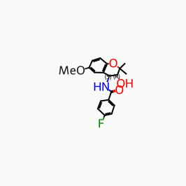 COc1ccc2c(c1)[C@H](NC(=O)c1ccc(F)cc1)[C@@H](O)C(C)(C)O2